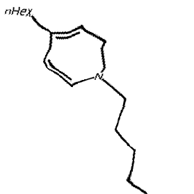 CCCCCCCCCCCCCCN1C=CC(CCCCCC)=CC1